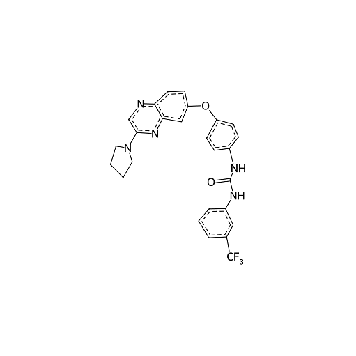 O=C(Nc1ccc(Oc2ccc3ncc(N4CCCC4)nc3c2)cc1)Nc1cccc(C(F)(F)F)c1